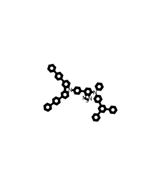 c1ccc(-c2ccc(-c3ccc4c(c3)c3cc(-c5ccc(-c6ccccc6)cc5)ccc3n4-c3ccc(-c4ccc(N(c5ccccc5)c5ccc(-c6cc(-c7ccccc7)cc(-c7ccccc7)c6)cc5)c5nsnc45)cc3)cc2)cc1